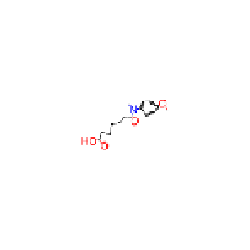 COc1ccc(N(C)C(=O)CCCCCC(=O)O)cc1